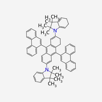 CC1(C)C2=CCCC=C2N(C2=Cc3c(c(-c4cc5ccccc5c5ccccc45)c4cc(N5c6ccccc6C(C)(C)C5(C)C)ccc4c3-c3cc4ccccc4c4ccccc34)CC2)C1(C)C